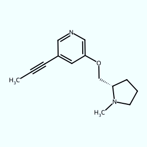 CC#Cc1cncc(OC[C@@H]2CCCN2C)c1